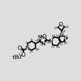 CC(C)(C)OC(=O)N1CCC(c2noc(N3CCc4cnn(C5COC5)c4C3)n2)CC1